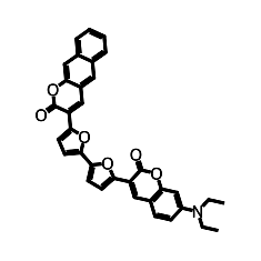 CCN(CC)c1ccc2cc(-c3ccc(-c4ccc(-c5cc6cc7ccccc7cc6oc5=O)o4)o3)c(=O)oc2c1